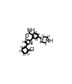 NC(=O)c1ccc(N2CCNCC2)cc1-c1nc(-c2ccccc2Cl)cs1